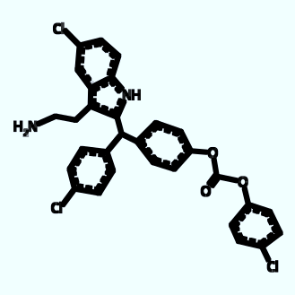 NCCc1c(C(c2ccc(Cl)cc2)c2ccc(OC(=O)Oc3ccc(Cl)cc3)cc2)[nH]c2ccc(Cl)cc12